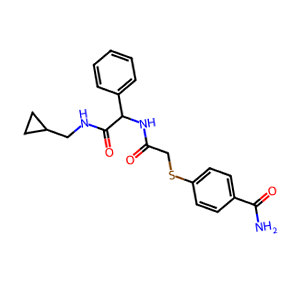 NC(=O)c1ccc(SCC(=O)NC(C(=O)NCC2CC2)c2ccccc2)cc1